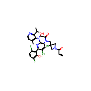 C=CC(=O)N1CC(F)(CN2C(=O)C(O)N(c3c(C)ccnc3C(C)C)c3nc(-c4c(F)ccc(F)c4O)c(Cl)cc32)C1